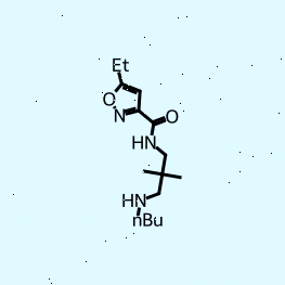 CCCCNCC(C)(C)CNC(=O)c1cc(CC)on1